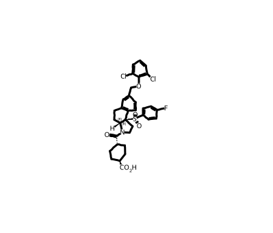 O=C(O)[C@H]1CC[C@H](C(=O)N2CC[C@@]3(S(=O)(=O)c4ccc(F)cc4)c4ccc(COc5c(Cl)cccc5Cl)cc4CC[C@@H]23)CC1